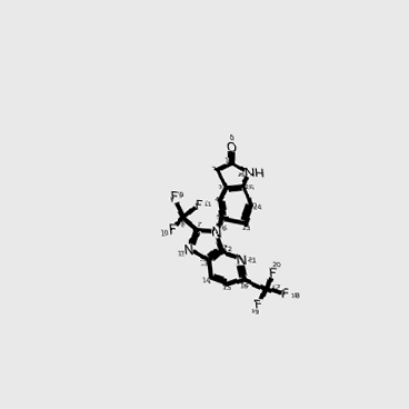 O=C1Cc2cc(-n3c(C(F)(F)F)nc4ccc(C(F)(F)F)nc43)ccc2N1